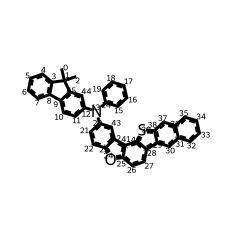 CC1(C)c2ccccc2-c2ccc(N(c3ccccc3)c3ccc4oc5ccc6c7cc8ccccc8cc7sc6c5c4c3)cc21